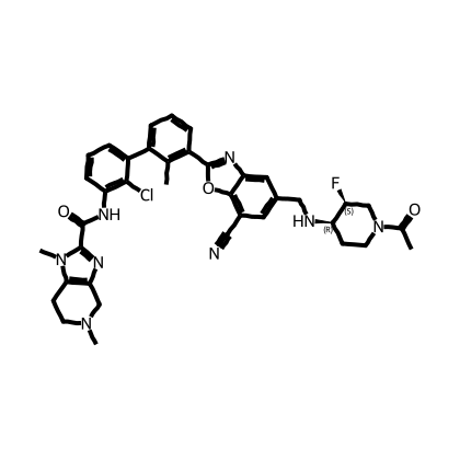 CC(=O)N1CC[C@@H](NCc2cc(C#N)c3oc(-c4cccc(-c5cccc(NC(=O)c6nc7c(n6C)CCN(C)C7)c5Cl)c4C)nc3c2)[C@@H](F)C1